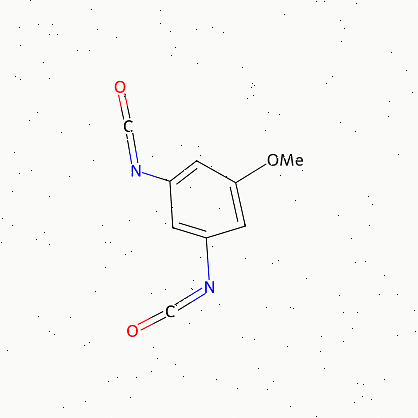 COc1cc(N=C=O)cc(N=C=O)c1